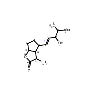 CCCCC(C)C(O)/C=C/C1CCC2OC(=O)C(C)C12